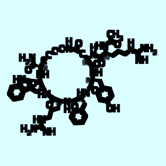 CC(=O)N[C@@H](CCCNC(=N)N)C(=O)N[C@H]1CC(=O)NCCCC[C@@H](C(N)=O)NC(=O)[C@H](Cc2c[nH]c3ccccc23)NC(=O)[C@H](CCCNC(=N)N)NC(=O)[C@@H](Cc2ccccc2)NC(=O)[C@H](Cc2ccc(O)cc2)NC1=O